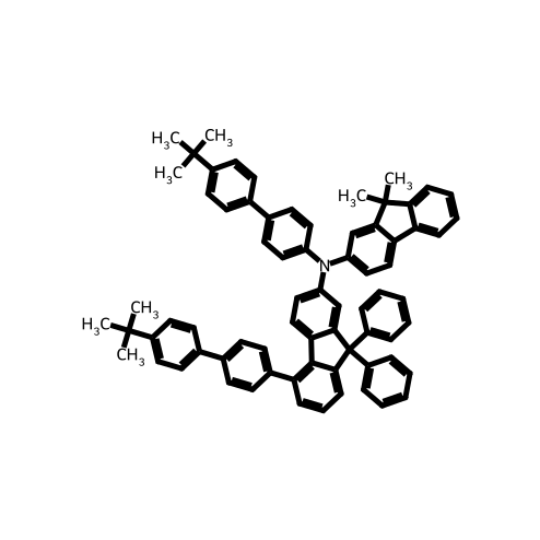 CC(C)(C)c1ccc(-c2ccc(-c3cccc4c3-c3ccc(N(c5ccc(-c6ccc(C(C)(C)C)cc6)cc5)c5ccc6c(c5)C(C)(C)c5ccccc5-6)cc3C4(c3ccccc3)c3ccccc3)cc2)cc1